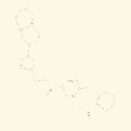 O=C(NCc1cnc(-c2ccc3ncccc3c2)s1)c1ccc2c(c1)NC(=O)c1ccccc1S2